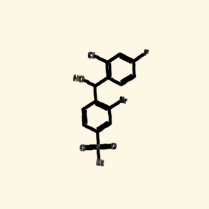 CCS(=O)(=O)c1ccc(C(O)c2ccc(F)cc2Cl)c(Br)c1